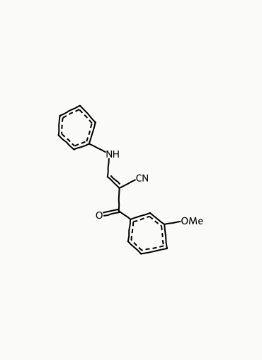 COc1cccc(C(=O)/C(C#N)=C/Nc2ccccc2)c1